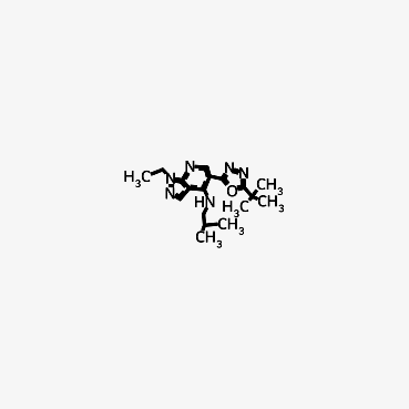 CCn1ncc2c(NCC(C)C)c(-c3nnc(C(C)(C)C)o3)cnc21